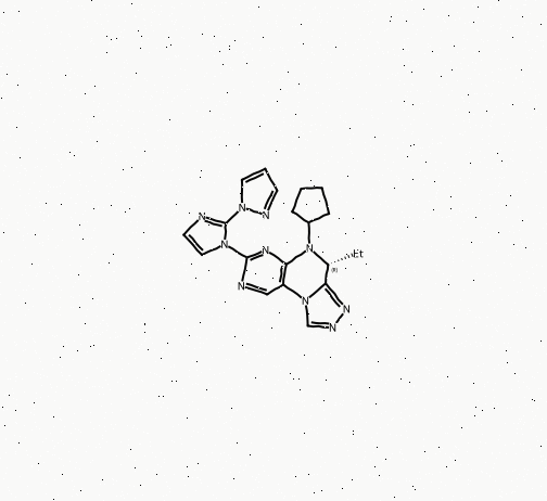 CC[C@@H]1c2nncn2-c2cnc(-n3ccnc3-n3cccn3)nc2N1C1CCCC1